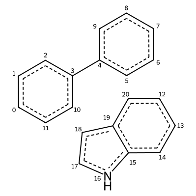 c1ccc(-c2ccccc2)cc1.c1ccc2[nH]ccc2c1